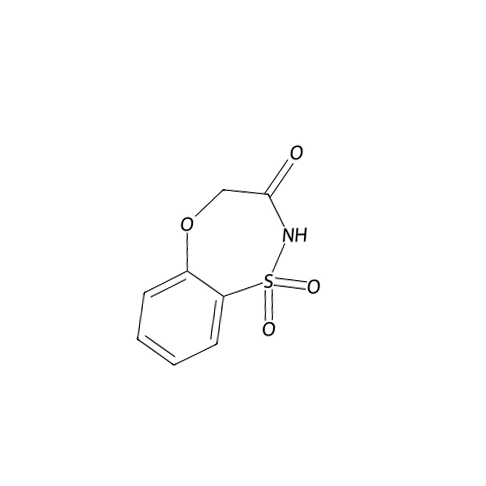 O=C1COc2ccccc2S(=O)(=O)N1